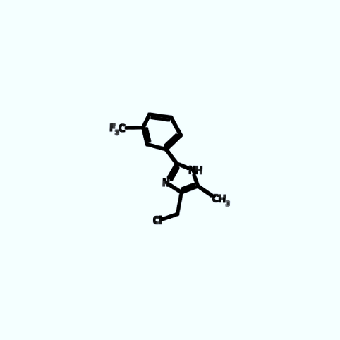 Cc1[nH]c(-c2cccc(C(F)(F)F)c2)nc1CCl